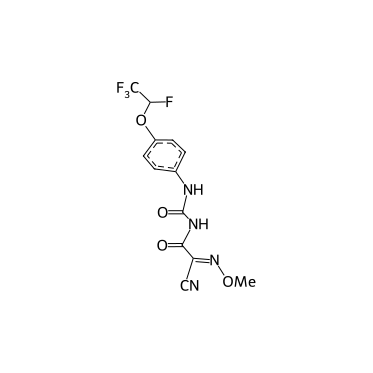 CON=C(C#N)C(=O)NC(=O)Nc1ccc(OC(F)C(F)(F)F)cc1